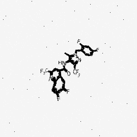 Cc1c(NC(=O)c2cc(C(F)(F)F)nc3cc(F)c(F)cc23)c(C(F)(F)F)nn1Cc1ccc(F)cc1F